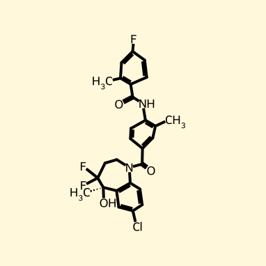 Cc1cc(C(=O)N2CCC(F)(F)[C@](C)(O)c3cc(Cl)ccc32)ccc1NC(=O)c1ccc(F)cc1C